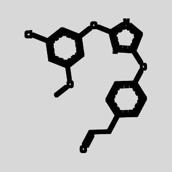 COc1cc(Cl)cc(Oc2ncc(Oc3ccc(CC=O)cc3)s2)c1